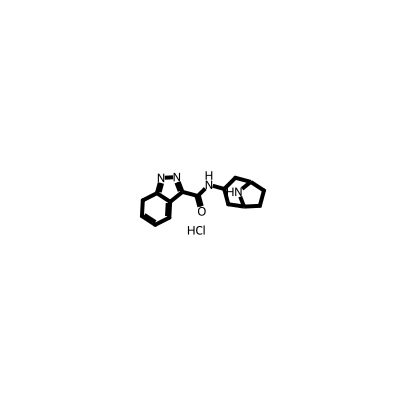 Cl.O=C(NC1CC2CCC(C1)N2)C1=NN=C2CC=CC=C21